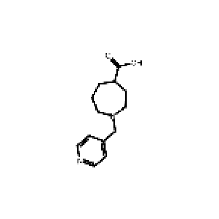 O=C(O)C1CCCN(Cc2ccncc2)CC1